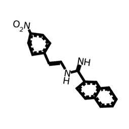 N=C(NC=Cc1ccc([N+](=O)[O-])cc1)c1ccc2ccccc2c1